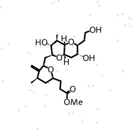 C=C1C(C[C@@H]2O[C@H]3C[C@@H](O)C(CCO)O[C@H]3[C@H](C)[C@H]2O)OC(CCC(=O)OC)C[C@H]1C